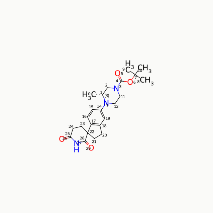 C[C@@H]1CN(C(=O)OC(C)(C)C)CCN1c1ccc2c(c1)CCC21CCC(=O)NC1=O